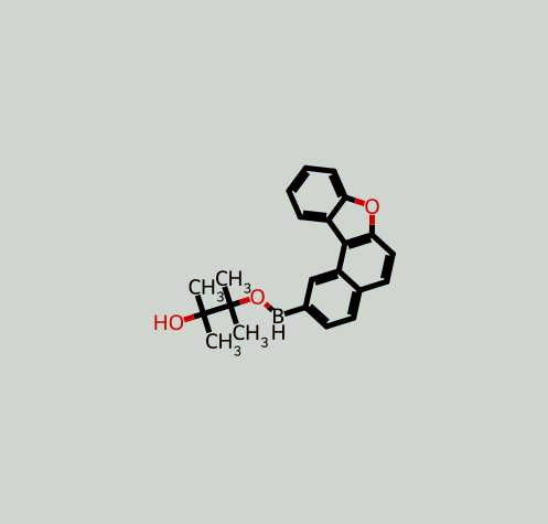 CC(C)(O)C(C)(C)OBc1ccc2ccc3oc4ccccc4c3c2c1